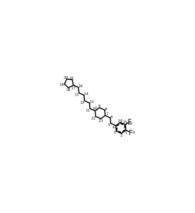 Fc1ccc(CCC2CCC(CCCCCCC3CCCC3)CC2)cc1F